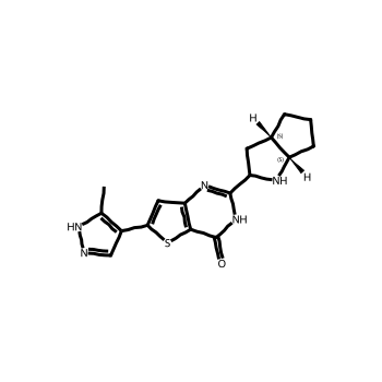 Cc1[nH]ncc1-c1cc2nc(C3C[C@@H]4CCC[C@@H]4N3)[nH]c(=O)c2s1